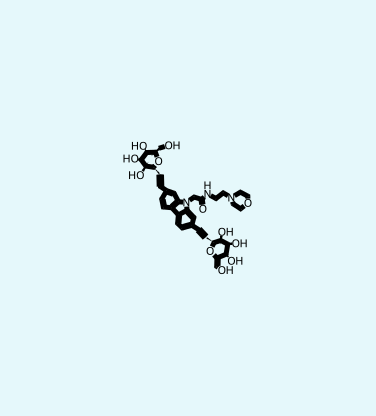 O=C(Cn1c2cc(C#C[C@H]3O[C@H](CO)[C@@H](O)[C@H](O)[C@@H]3O)ccc2c2ccc(C#C[C@H]3O/C(=C/O)[C@@H](O)[C@H](O)[C@@H]3O)cc21)NCCN1CCOCC1